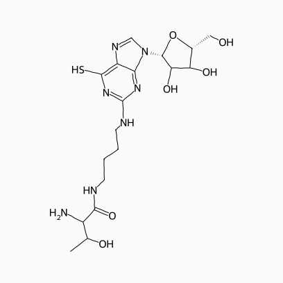 CC(O)C(N)C(=O)NCCCCNc1nc(S)c2ncn([C@@H]3O[C@H](CO)C(O)C3O)c2n1